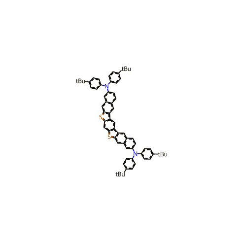 CC(C)(C)c1ccc(N(c2ccc(C(C)(C)C)cc2)c2ccc3cc4c(cc3c2)sc2cc3sc5cc6cc(N(c7ccc(C(C)(C)C)cc7)c7ccc(C(C)(C)C)cc7)ccc6cc5c3cc24)cc1